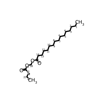 CCCCCCCCCCCCCCCC(=O)OCOC(=O)SCC